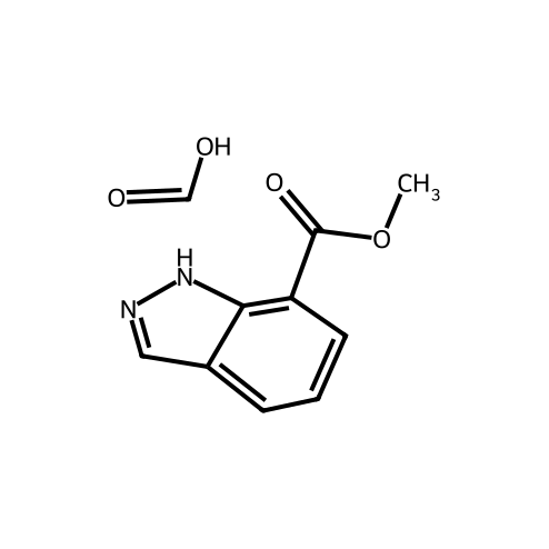 COC(=O)c1cccc2cn[nH]c12.O=CO